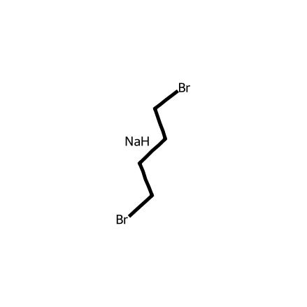 BrCCCCBr.[NaH]